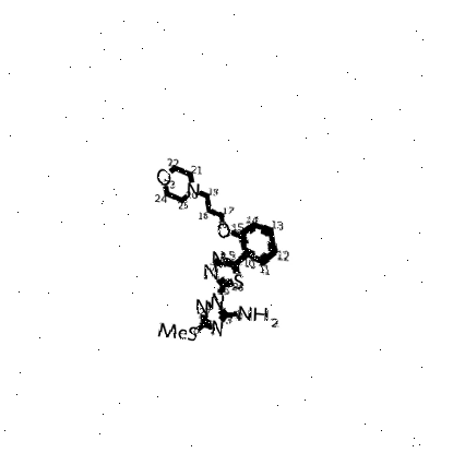 CSc1nc(N)n(-c2nnc(-c3ccccc3OCCCN3CCOCC3)s2)n1